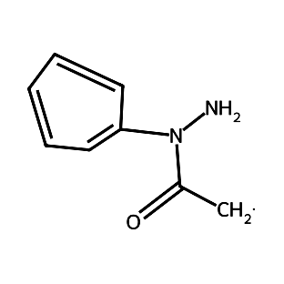 [CH2]C(=O)N(N)c1ccccc1